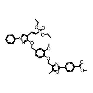 CCOP(=O)(C=Cc1cn(-c2ccccc2)nc1OCc1ccc(OCc2nc(-c3ccc(C(=O)OC)cc3)oc2C)c(OC)c1)OCC